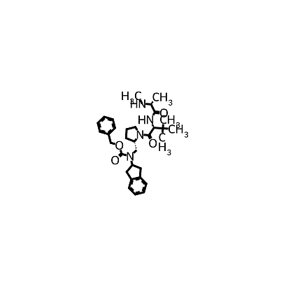 CN[C@@H](C)C(=O)N[C@H](C(=O)N1CCC[C@H]1CN(C(=O)OCc1ccccc1)C1Cc2ccccc2C1)C(C)(C)C